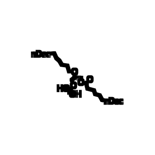 CCCCCCCCCCCCCCCCO[C@H](COC(=O)CCCCCCCCCCCCCCC)COP(O)O